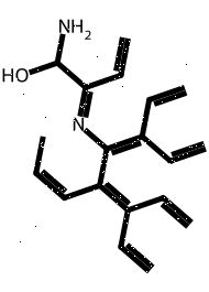 C=CC(C=C)=C(/C=C\C)C(/N=C(\C=C)C(N)O)=C(C=C)C=C